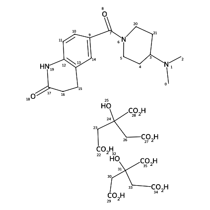 CN(C)C1CCN(C(=O)c2ccc3c(c2)CCC(=O)N3)CC1.O=C(O)CC(O)(CC(=O)O)C(=O)O.O=C(O)CC(O)(CC(=O)O)C(=O)O